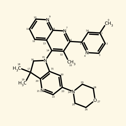 Cc1ccnc(-c2nc3ncccc3c(N3CC(C)(C)c4ncc(N5CCOCC5)cc43)c2C)c1